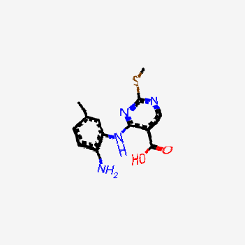 CSc1ncc(C(=O)O)c(Nc2cc(C)ccc2N)n1